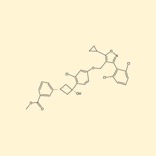 COC(=O)c1cccc([C@H]2C[C@](O)(c3ccc(OCc4c(-c5c(Cl)cccc5Cl)noc4C4CC4)cc3Cl)C2)c1